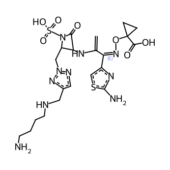 C=C(NC1C(=O)N(S(=O)(=O)O)C1Cn1ncc(CNCCCCN)n1)/C(=N\OC1(C(=O)O)CC1)c1csc(N)n1